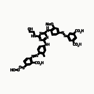 COc1cc(N=Nc2cc(C(=O)O)cc(C(=O)O)c2)ccc1Nc1nc(NCCO)nc(Nc2ccc(N=Nc3ccc(SOOO)cc3C(=O)O)c(C)c2)n1